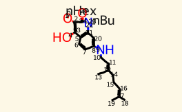 CCCCCCOc1c(O)c2ccc(NC/C=C(\C)CCC=C(C)C)cc2n(CCCC)c1=O